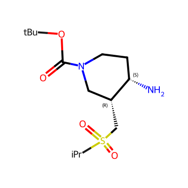 CC(C)S(=O)(=O)C[C@@H]1CN(C(=O)OC(C)(C)C)CC[C@@H]1N